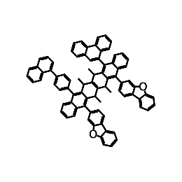 CC1C2=C(C(C)c3c1c(-c1ccc4c(c1)oc1ccccc14)c1ccccc1c3-c1ccc(-c3cccc4ccccc34)cc1)C(C)c1c(c(-c3ccc4c(c3)oc3ccccc34)c3ccccc3c1-c1cc3ccccc3c3ccccc13)C2C